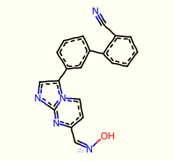 N#Cc1ccccc1-c1cccc(-c2cnc3nc(/C=N\O)ccn23)c1